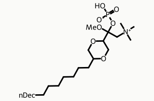 CCCCCCCCCCCCCCCCCC1COC(C(C[N+](C)(C)C)(OC)OP(=O)([O-])O)CO1